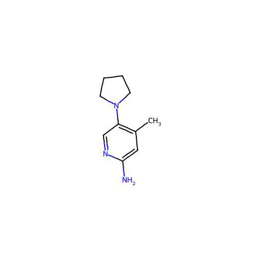 Cc1cc(N)ncc1N1CCCC1